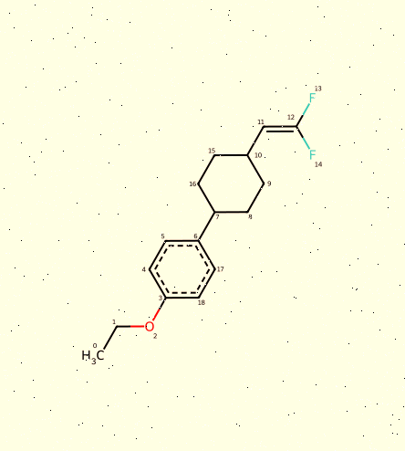 CCOc1ccc(C2CCC(C=C(F)F)CC2)cc1